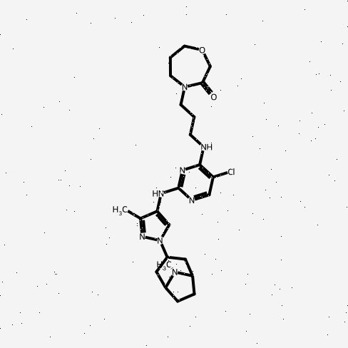 Cc1nn(C2CC3CCC(C2)N3C)cc1Nc1ncc(Cl)c(NCCCN2CCCOCC2=O)n1